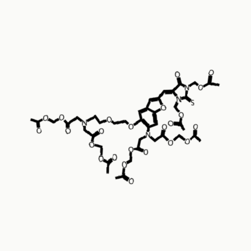 CC(=O)OCOC(=O)CN(CCOCCOc1cc2cc(/C=C3/C(=O)N(COC(C)=O)C(=S)N3COC(C)=O)oc2cc1N(CC(=O)OCOC(C)=O)CC(=O)OCOC(C)=O)CC(=O)OCOC(C)=O